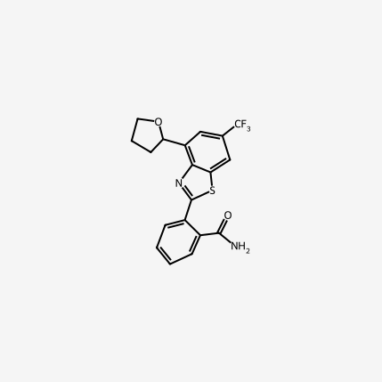 NC(=O)c1ccccc1-c1nc2c(C3CCCO3)cc(C(F)(F)F)cc2s1